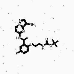 CC(Nc1ccn2ncc(N)c2n1)c1cc(F)ccc1OCCNC(=O)OC(C)(C)C